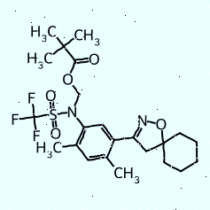 Cc1cc(C)c(N(COC(=O)C(C)(C)C)S(=O)(=O)C(F)(F)F)cc1C1=NOC2(CCCCC2)C1